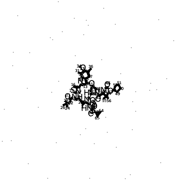 C=CC1C[C@]1(NC(=O)[C@@H]1C[C@@H](Oc2cc(-c3csc(NC(=O)CC(C)(C)C)n3)nc3c(C)c(OC)c(C)cc23)CN1C(=O)[C@@H](NC(=O)OC1CCCC1)C(C)(C)C)C(=O)NS(=O)(=O)C1CC1